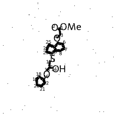 COC(=O)COc1cccc2c(SCC(O)COc3ccccc3)cccc12